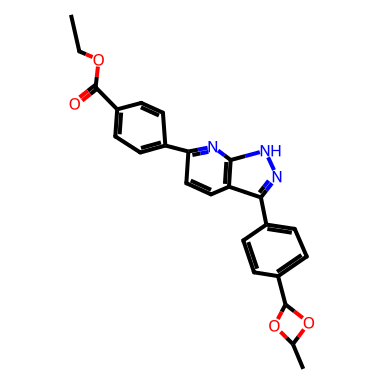 CCOC(=O)c1ccc(-c2ccc3c(-c4ccc(C5OC(C)O5)cc4)n[nH]c3n2)cc1